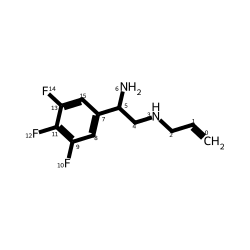 C=CCNCC(N)c1cc(F)c(F)c(F)c1